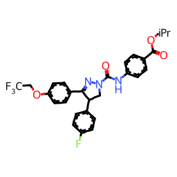 CC(C)OC(=O)c1ccc(NC(=O)N2CC(c3ccc(F)cc3)C(c3ccc(OCC(F)(F)F)cc3)=N2)cc1